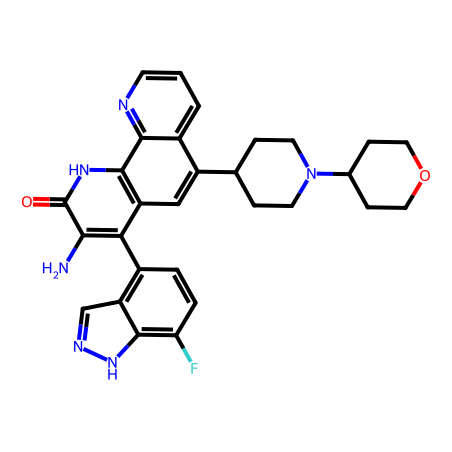 Nc1c(-c2ccc(F)c3[nH]ncc23)c2cc(C3CCN(C4CCOCC4)CC3)c3cccnc3c2[nH]c1=O